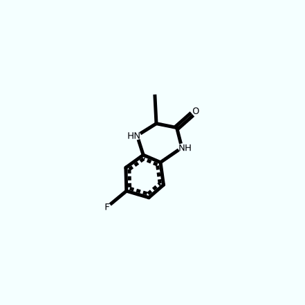 CC1Nc2cc(F)ccc2NC1=O